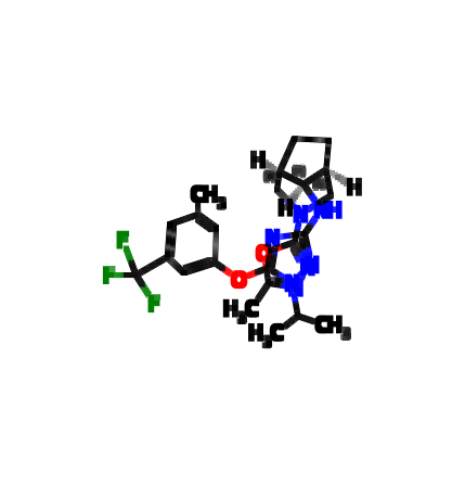 Cc1cc(Oc2nc(N[C@H]3[C@@H]4CC[C@H]3CN(c3nnc(C)o3)C4)nn2C(C)C)cc(C(F)(F)F)c1